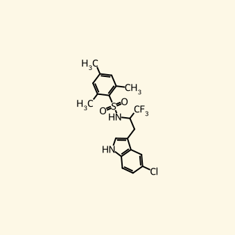 Cc1cc(C)c(S(=O)(=O)NC(Cc2c[nH]c3ccc(Cl)cc23)C(F)(F)F)c(C)c1